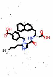 CCCCc1ncc(C(=O)N[C@@H](CC(=O)O)Cc2ccc3ccccc3c2)n1Cc1ccc(C(=O)O)cc1